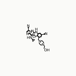 N#Cc1cc(CN2CCN(CCO)CC2)c(Cl)c(Nc2nc(NC3CC3)c3ncc(C#N)n3n2)c1